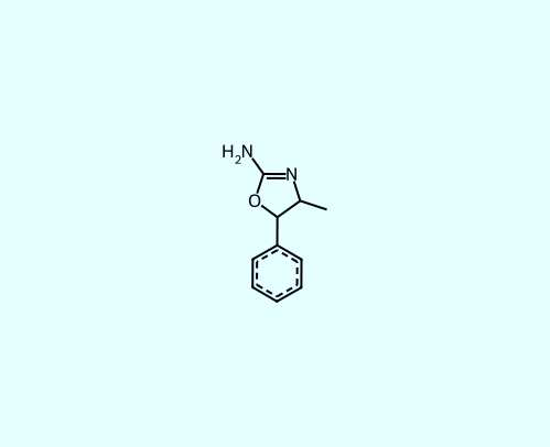 CC1N=C(N)OC1c1ccccc1